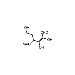 COC(CCO)/C(O)=C(/O)C=O